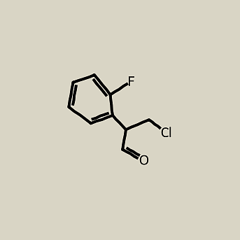 O=CC(CCl)c1ccccc1F